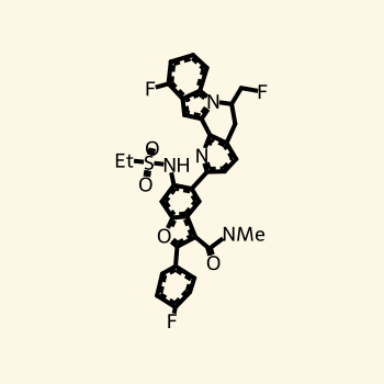 CCS(=O)(=O)Nc1cc2oc(-c3ccc(F)cc3)c(C(=O)NC)c2cc1-c1ccc2c(n1)-c1cc3c(F)cccc3n1C(CF)C2